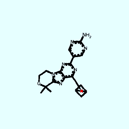 CC1(C)OCCn2c1nc1c(N3CC4CC3C4)nc(-c3cnc(N)nc3)nc12